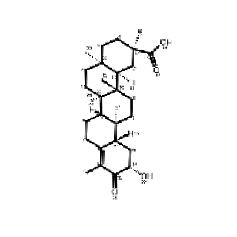 CC1=C2CC[C@H]3[C@@](C)(CC[C@@]4(C)[C@@H]5C[C@](C)(C(=O)O)CC[C@]5(C)CC[C@]34C)[C@@H]2C[C@H](O)C1=O